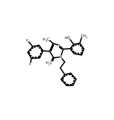 C=C1C(c2cc(F)cc(F)c2)=C(C)N=C(c2cccc(C)c2O)N1CCc1ccccc1